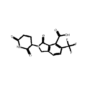 O=C1CCC(N2Cc3ccc(C(F)(F)F)c(C(=O)O)c3C2=O)C(=O)N1